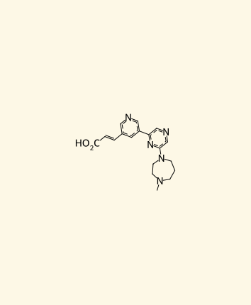 CN1CCCN(c2cncc(-c3cncc(/C=C/C(=O)O)c3)n2)CC1